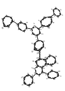 c1ccc(-c2ccc(-c3cc(-c4ccc(-c5cc6nc(-c7ccccc7)cc(-c7ccccc7)c6c6ccccc56)cc4)cc(-c4ccc(-c5ccccc5)cc4)n3)cc2)cc1